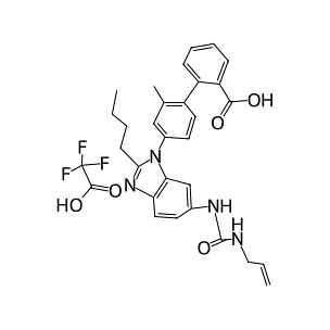 C=CCNC(=O)Nc1ccc2nc(CCCC)n(-c3ccc(-c4ccccc4C(=O)O)c(C)c3)c2c1.O=C(O)C(F)(F)F